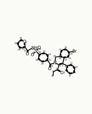 CCC(=O)C1=C(c2ccccc2)c2cc(Br)ccc2CN1C(=O)c1ccc(S(=O)(=O)NC(=O)c2ccco2)cc1